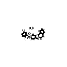 Cl.O=S(=O)(c1cc(Cl)ccc1Cl)N1CCC(CN2CCc3ccccc3C2)CC1